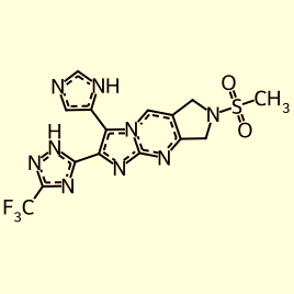 CS(=O)(=O)N1Cc2cn3c(-c4cnc[nH]4)c(-c4nc(C(F)(F)F)n[nH]4)nc3nc2C1